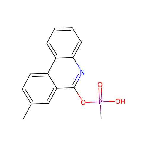 Cc1ccc2c(c1)c(OP(C)(=O)O)nc1ccccc12